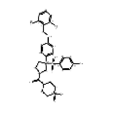 O=C(C1CCS(=O)(=O)CC1)N1CC[C@](c2ccc(OCc3c(Cl)cccc3Cl)cc2)(S(=O)(=O)c2ccc(F)cc2)C1